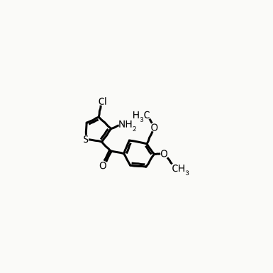 COc1ccc(C(=O)c2scc(Cl)c2N)cc1OC